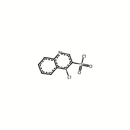 O=S(=O)(Cl)c1cnc2ccccc2c1Cl